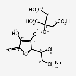 O=C(O)CC(O)(CC(=O)O)C(=O)O.O=C1O[C@H]([C@@H](O)CO)C([O-])=C1O.[Na+]